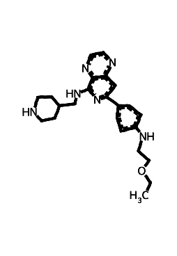 CCOCCNc1ccc(-c2cc3nccnc3c(NCC3CCNCC3)n2)cc1